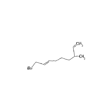 C=CC(C)CCCC=CCC(C)CC